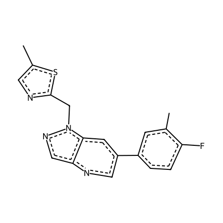 Cc1cnc(Cn2ncc3ncc(-c4ccc(F)c(C)c4)cc32)s1